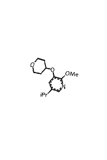 COc1ncc(C(C)C)cc1OC1CCOCC1